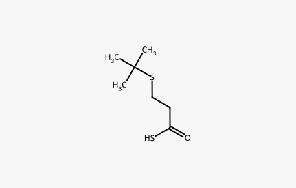 CC(C)(C)SCCC(=O)S